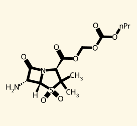 CCCOC(=O)OCOC(=O)[C@@H]1N2C(=O)[C@@H](N)[C@H]2S(=O)(=O)C1(C)C